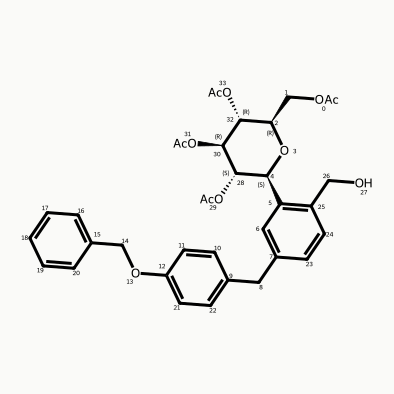 CC(=O)OC[C@H]1O[C@@H](c2cc(Cc3ccc(OCc4ccccc4)cc3)ccc2CO)[C@H](OC(C)=O)[C@@H](OC(C)=O)[C@@H]1OC(C)=O